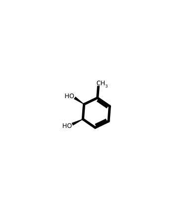 CC1=CC=C[C@@H](O)[C@H]1O